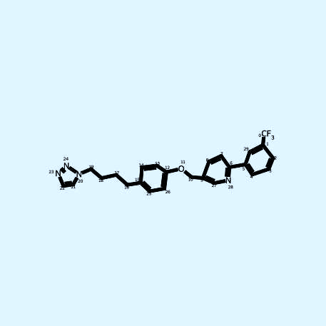 FC(F)(F)c1cccc(-c2ccc(COc3ccc(CCCCn4ccnn4)cc3)cn2)c1